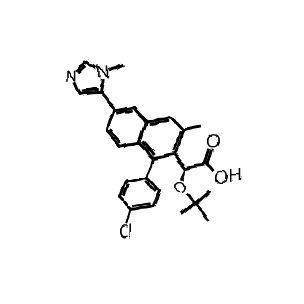 Cc1cc2cc(-c3cncn3C)ccc2c(-c2ccc(Cl)cc2)c1[C@H](OC(C)(C)C)C(=O)O